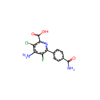 NC(=O)c1ccc(-c2nc(C(=O)O)c(Cl)c(N)c2F)cc1